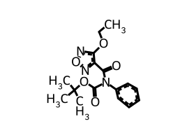 CCOc1nonc1C(=O)N(C(=O)OC(C)(C)C)c1ccccc1